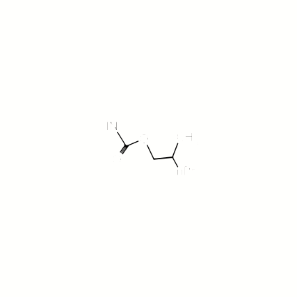 CCCC(C)COC([NH])=O